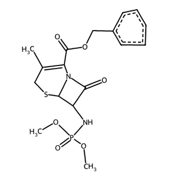 COP(=O)(NC1C(=O)N2C(C(=O)OCc3ccccc3)=C(C)CSC12)OC